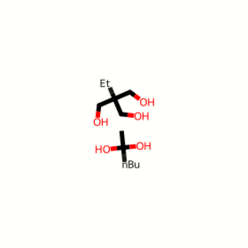 CCC(CO)(CO)CO.CCCCC(C)(O)O